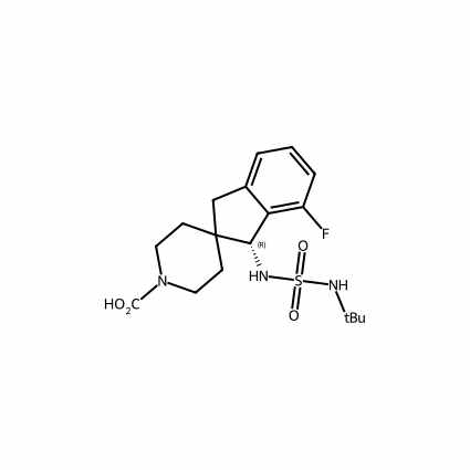 CC(C)(C)NS(=O)(=O)N[C@H]1c2c(F)cccc2CC12CCN(C(=O)O)CC2